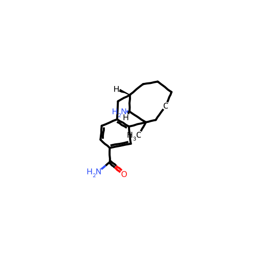 CC12CCCCC[C@@H](Cc3ccc(C(N)=O)cc31)[C@@H]2N